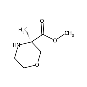 COC(=O)[C@@]1(C)COCCN1